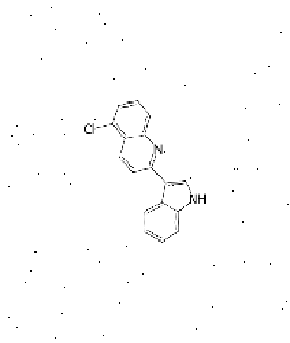 Clc1cccc2nc(-c3c[nH]c4ccccc34)ccc12